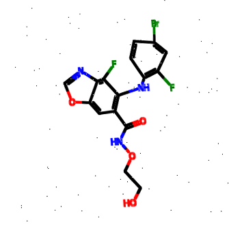 O=C(NOCCO)c1cc2ocnc2c(F)c1Nc1ccc(Br)cc1F